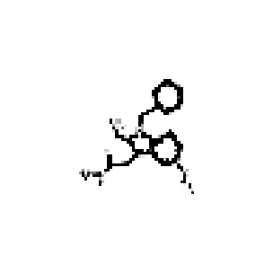 CCc1c(CC(=O)NN)c2cc(OC)ccc2n1Cc1ccccc1